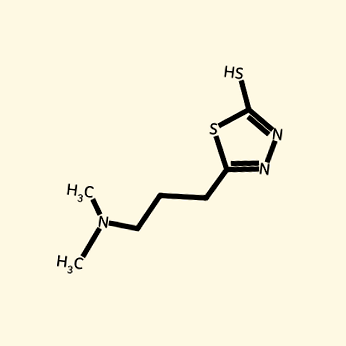 CN(C)CCCc1nnc(S)s1